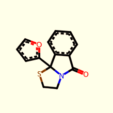 O=C1c2ccccc2C2(c3ccco3)SCCN12